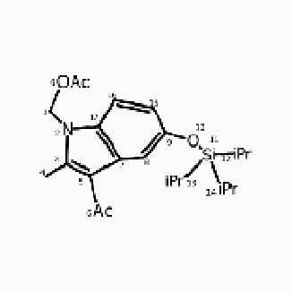 CC(=O)OCn1c(C)c(C(C)=O)c2cc(O[Si](C(C)C)(C(C)C)C(C)C)ccc21